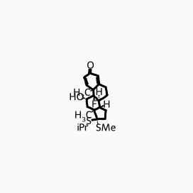 CS[C@@]1(SC(C)C)CC[C@H]2[C@@H]3CCC4=CC(=O)C=C[C@]4(C)[C@@]3(F)[C@@H](O)C[C@@]21C